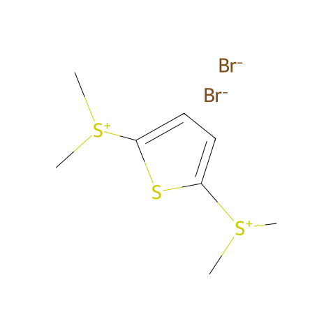 C[S+](C)c1ccc([S+](C)C)s1.[Br-].[Br-]